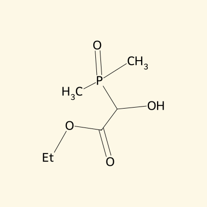 CCOC(=O)C(O)P(C)(C)=O